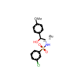 CC[C@H](C)[C@H](NS(=O)(=O)c1cccc(Cl)c1)C(O)c1ccc(OC)cc1